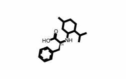 CC1CCC(C(C)C)C(N[C@@H](Cc2ccccc2)C(=O)O)C1